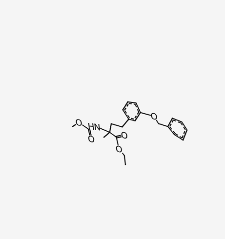 CCOC(=O)C(C)(CCc1cccc(OCc2ccccc2)c1)NC(=O)OC